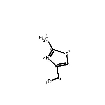 Cc1nc(C[O])cs1